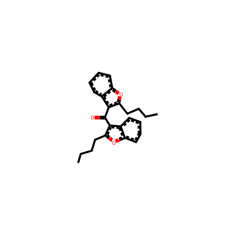 CCCCc1oc2ccccc2c1C(=O)c1c(CCCC)oc2ccccc12